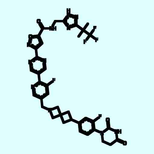 CC(C)(c1n[nH]c(CNC(=O)c2cc(-c3ncc(-c4ncc(CN5CC6(CC(c7ccc(N8CCC(=O)NC8=O)c(F)c7)C6)C5)cc4F)cn3)no2)n1)C(F)(F)F